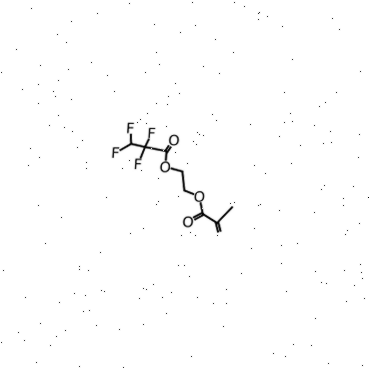 C=C(C)C(=O)OCCOC(=O)C(F)(F)C(F)F